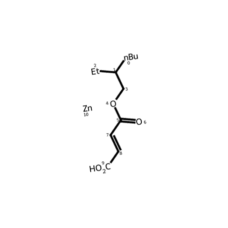 CCCCC(CC)COC(=O)C=CC(=O)O.[Zn]